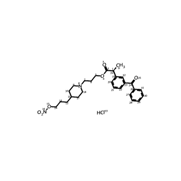 C[C@H](C(=O)OCCCN1CCC(CCCO[N+](=O)[O-])CC1)c1cccc(C(=O)c2ccccc2)c1.Cl